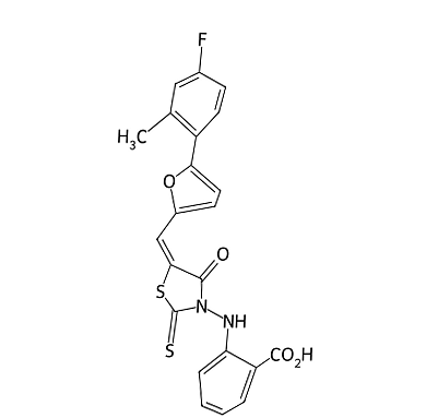 Cc1cc(F)ccc1-c1ccc(/C=C2/SC(=S)N(Nc3ccccc3C(=O)O)C2=O)o1